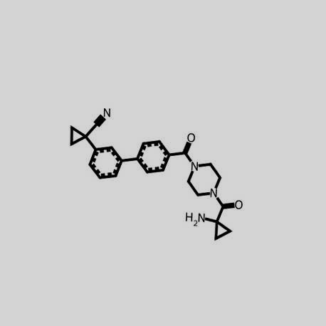 N#CC1(c2cccc(-c3ccc(C(=O)N4CCN(C(=O)C5(N)CC5)CC4)cc3)c2)CC1